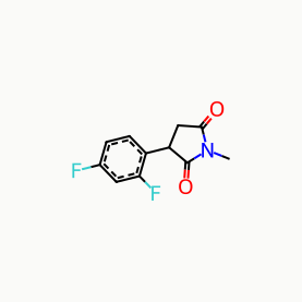 CN1C(=O)CC(c2ccc(F)cc2F)C1=O